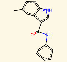 Cc1ccc2[nH]cc(C(=O)Nc3ccccc3)c2c1